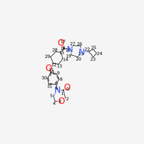 O=C1COCCN1c1ccc(O[C@H]2CC[C@H](C(=O)N3CCN(C4CCC4)CC3)CC2)cc1